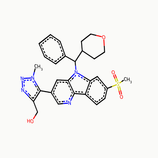 Cn1nnc(CO)c1-c1cnc2c3ccc(S(C)(=O)=O)cc3n(C(c3ccccc3)C3CCOCC3)c2c1